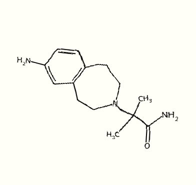 CC(C)(C(N)=O)N1CCc2ccc(N)cc2CC1